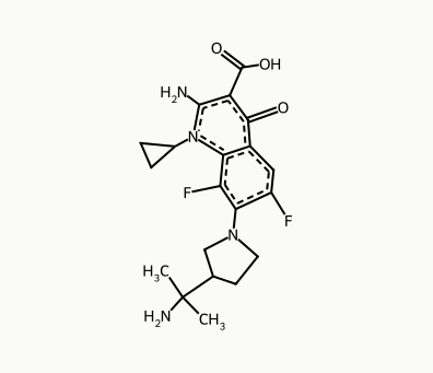 CC(C)(N)C1CCN(c2c(F)cc3c(=O)c(C(=O)O)c(N)n(C4CC4)c3c2F)C1